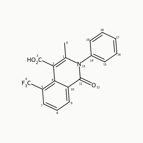 Cc1c(C(=O)O)c2c(C(F)(F)F)cccc2c(=O)n1-c1ccccc1